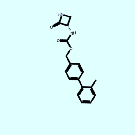 Cc1ccccc1-c1ccc(COC(=O)N[C@H]2CNC2=O)cc1